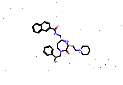 CCCC(CN1CC[C@@H](CNC(=O)c2ccc3ccccc3c2)N[C@@H](CCN2CCCCC2)C1=O)c1ccccc1